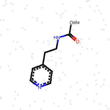 COC(=O)NCCc1ccncc1